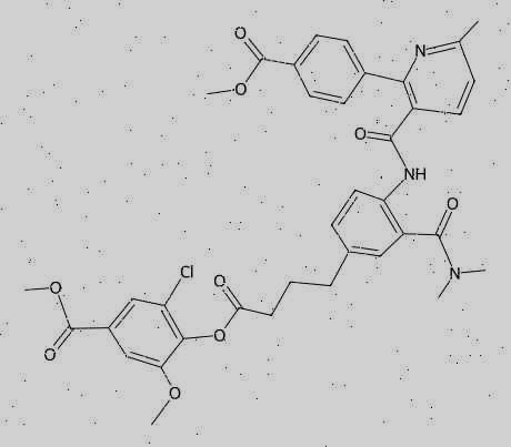 COC(=O)c1ccc(-c2nc(C)ccc2C(=O)Nc2ccc(CCCC(=O)Oc3c(Cl)cc(C(=O)OC)cc3OC)cc2C(=O)N(C)C)cc1